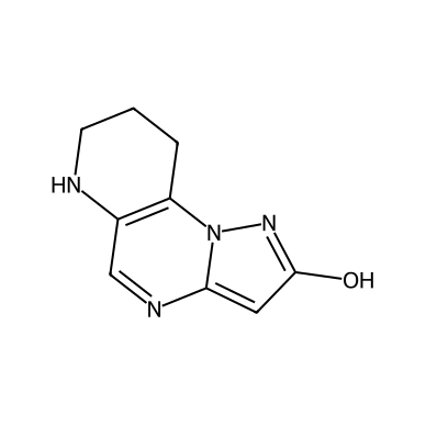 Oc1cc2ncc3c(n2n1)CCCN3